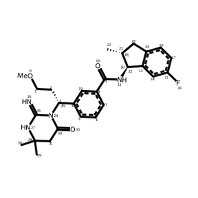 COCC[C@H](c1cccc(C(=O)N[C@@H]2c3cc(F)ccc3C[C@H]2C)c1)N1C(=N)NC(C)(C)CC1=O